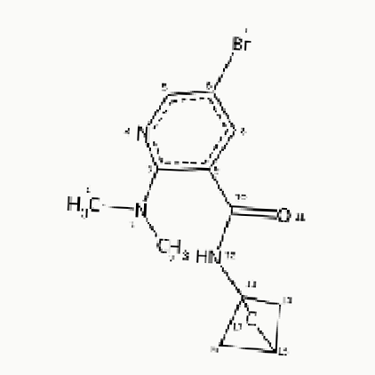 CN(C)c1ncc(Br)cc1C(=O)NC12CC(C1)C2